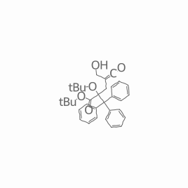 CC(C)(C)OC(=O)C(CC(=C=O)CO)(OC(C)(C)C)C(c1ccccc1)(c1ccccc1)c1ccccc1